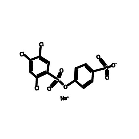 O=S(=O)([O-])c1ccc(OS(=O)(=O)c2cc(Cl)c(Cl)cc2Cl)cc1.[Na+]